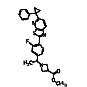 COC(=O)C1CN([C@@H](C)c2ccc(-c3nc4ccc(C5(c6ccccc6)CC5)nc4s3)c(F)c2)C1